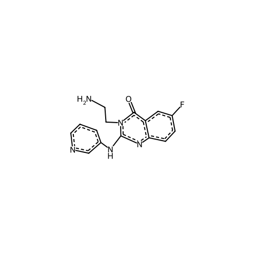 NCCn1c(Nc2cccnc2)nc2ccc(F)cc2c1=O